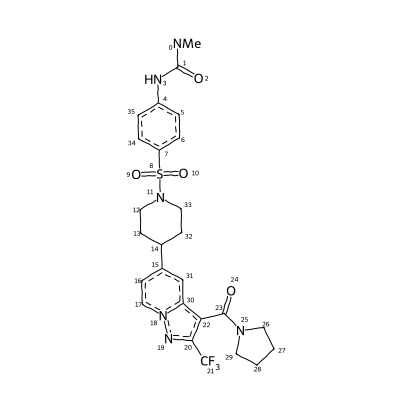 CNC(=O)Nc1ccc(S(=O)(=O)N2CCC(c3ccn4nc(C(F)(F)F)c(C(=O)N5CCCC5)c4c3)CC2)cc1